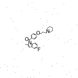 Cc1cc2cc(F)ccc2n1C(=O)c1ccc(OCCCN2CCCCC2)cc1